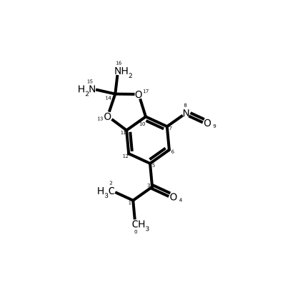 CC(C)C(=O)c1cc(N=O)c2c(c1)OC(N)(N)O2